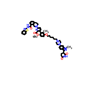 Cc1c(OCCCCCCN2CCN(c3ccc4c(C5CCC(=O)NC5=O)nn(C)c4c3)CC2)cccc1-c1ccc(N2CCc3cccc(C(=O)Nc4nc5ccccc5s4)c3C2)nc1C(=O)OC(C)(C)C